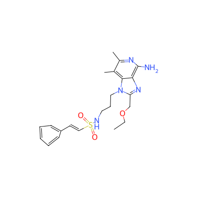 CCOCc1nc2c(N)nc(C)c(C)c2n1CCCNS(=O)(=O)C=Cc1ccccc1